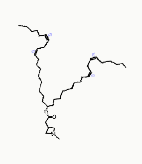 CCCCC/C=C\C/C=C\CCCCCCCCC(CCCCCCCC/C=C\C/C=C\CCCCC)OC(=O)CC1CN(C)C1